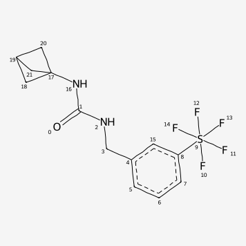 O=C(NCc1cccc(S(F)(F)(F)(F)F)c1)NC12CC(C1)C2